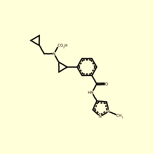 Cn1cc(NC(=O)c2cccc(C3CC3N(CC3CC3)C(=O)O)c2)cn1